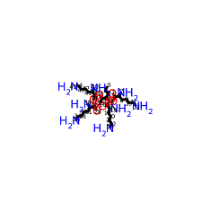 CCC(OC(=O)C(N)CCCCN)C(OC(=O)C(N)CCCCN)C(COC(=O)C(N)CCCCN)OC(=O)C(N)CCCCN